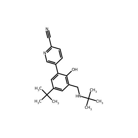 CC(C)(C)NCc1cc(C(C)(C)C)cc(-c2ccc(C#N)nc2)c1O